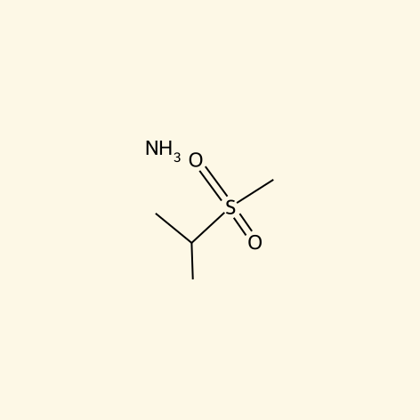 CC(C)S(C)(=O)=O.N